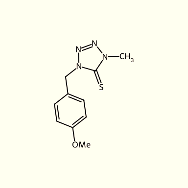 COc1ccc(Cn2nnn(C)c2=S)cc1